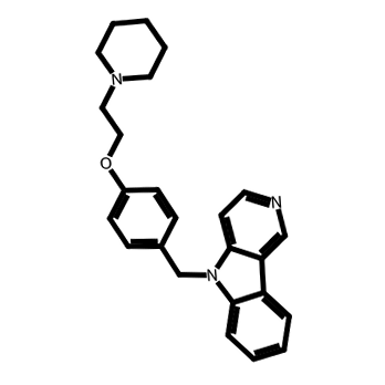 c1ccc2c(c1)c1cnccc1n2Cc1ccc(OCCN2CCCCC2)cc1